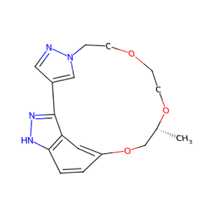 C[C@@H]1COc2ccc3[nH]nc(c3c2)-c2cnn(c2)CCOCCO1